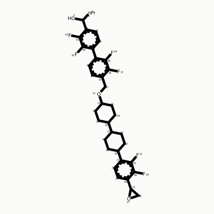 CCCC(O)c1ccc(-c2ccc(COC3CCC(C4CCC(c5ccc(C6CO6)c(F)c5F)CC4)CC3)c(F)c2F)c(F)c1F